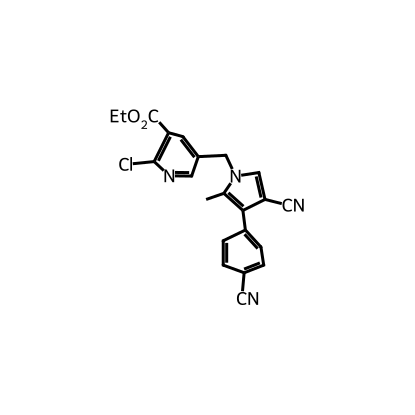 CCOC(=O)c1cc(Cn2cc(C#N)c(-c3ccc(C#N)cc3)c2C)cnc1Cl